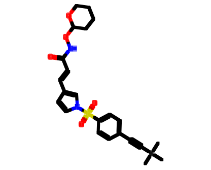 C[Si](C)(C)C#Cc1ccc(S(=O)(=O)n2ccc(C=CC(=O)NOC3CCCCO3)c2)cc1